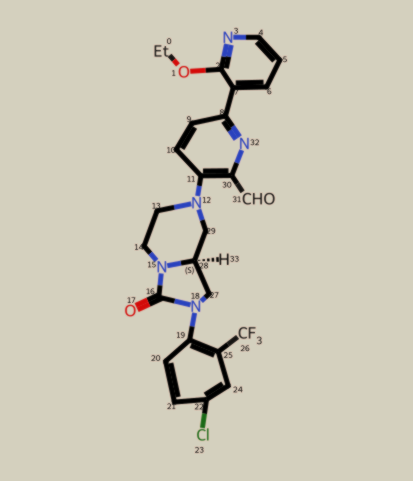 CCOc1ncccc1-c1ccc(N2CCN3C(=O)N(c4ccc(Cl)cc4C(F)(F)F)C[C@@H]3C2)c(C=O)n1